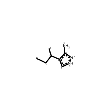 CCC(C)c1c[nH]nc1N